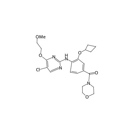 COCCOc1nc(Nc2ccc(C(=O)N3CCOCC3)cc2OC2CCC2)ncc1Cl